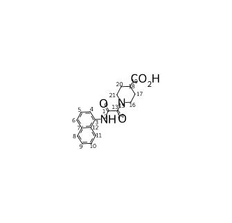 O=C(Nc1cccc2ccccc12)C(=O)N1CCC(C(=O)O)CC1